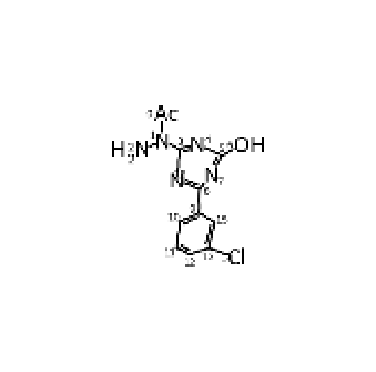 CC(=O)N(N)c1nc(O)nc(-c2cccc(Cl)c2)n1